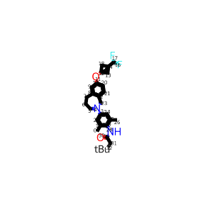 Cc1cc(N2CCCc3cc(OC45CC(C(F)F)(C4)C5)ccc3C2)cc(C)c1NC(=O)CC(C)(C)C